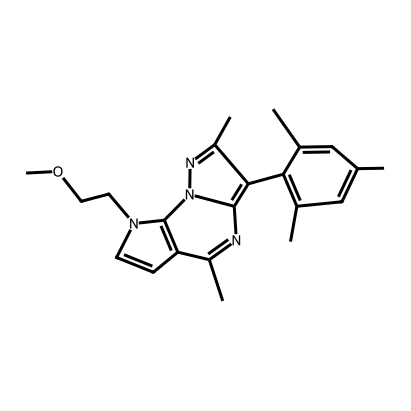 COCCn1ccc2c(C)nc3c(-c4c(C)cc(C)cc4C)c(C)nn3c21